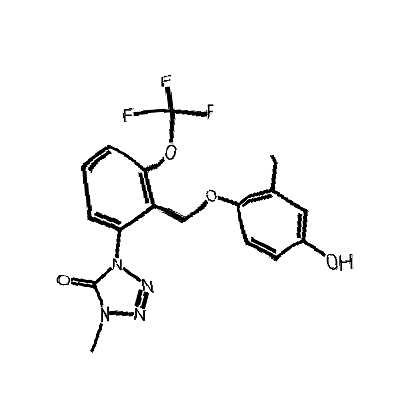 Cc1cc(O)ccc1OCc1c(OC(F)(F)F)cccc1-n1nnn(C)c1=O